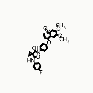 COc1cc2c(Oc3ccc(NC(=O)C4(C(=O)Nc5ccc(F)cc5)CC4)cc3)cc[n+]([O-])c2cc1OC